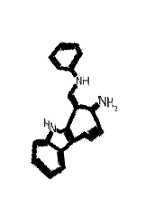 NC1C=Cc2c([nH]c3ccccc23)/C1=C/Nc1ccccc1